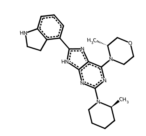 C[C@@H]1COCCN1c1nc(N2CCCC[C@@H]2C)nc2[nH]c(-c3cccc4c3CCN4)nc12